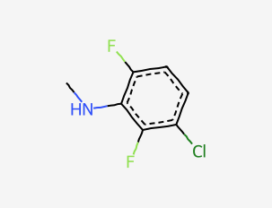 CNc1c(F)ccc(Cl)c1F